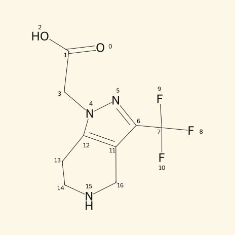 O=C(O)Cn1nc(C(F)(F)F)c2c1CCNC2